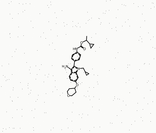 CC(OC(=O)Nc1ccc(-c2c(N)c3ccc(OC4CCOCC4)cc3n2CC2CC2)cc1)C1CC1